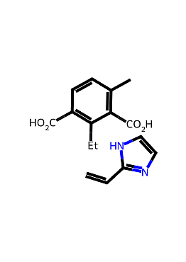 C=Cc1ncc[nH]1.CCc1c(C(=O)O)ccc(C)c1C(=O)O